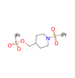 CC(C)S(=O)(=O)OCC1CCN(S(=O)(=O)C(C)C)CC1